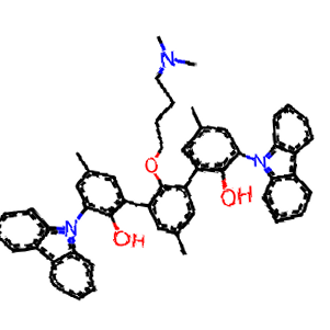 Cc1cc(-c2cc(C)cc(-n3c4ccccc4c4ccccc43)c2O)c(OCCCCN(C)C)c(-c2cc(C)cc(-n3c4ccccc4c4ccccc43)c2O)c1